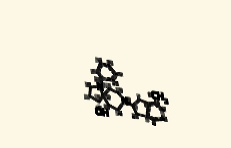 Cc1cccc2c1C[C@H](N1CCC3(CC1)[C@H](O)CCN3c1ccccc1)C2